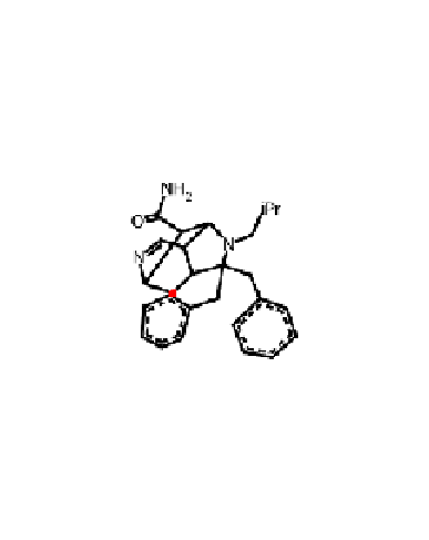 CC(C)CN1C2C3C=NC(CC3C1(Cc1ccccc1)Cc1ccccc1)C2C(N)=O